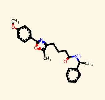 COc1ccc(-c2nc(CCCC(=O)NC(C)c3ccccc3)c(C)o2)cc1